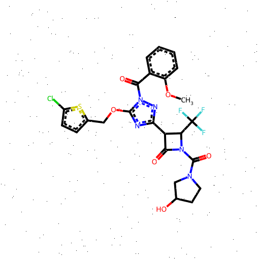 COc1ccccc1C(=O)n1nc(C2C(=O)N(C(=O)N3CCC(O)C3)C2C(F)(F)F)nc1OCc1ccc(Cl)s1